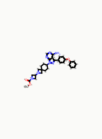 CC(C)(C)OC(=O)N1CC(N2CC3(CCC(n4nc(-c5ccc(Oc6ccccc6)cc5)c5c(N)ncnc54)CC3)C2)C1